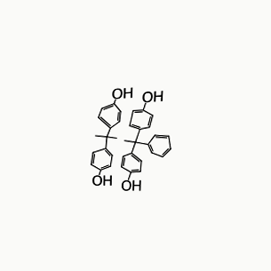 CC(C)(c1ccc(O)cc1)c1ccc(O)cc1.CC(c1ccccc1)(c1ccc(O)cc1)c1ccc(O)cc1